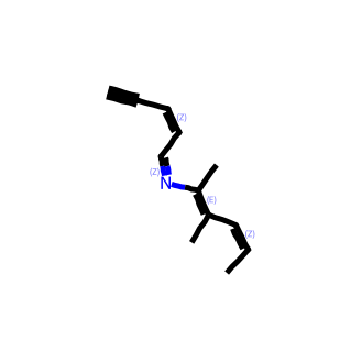 C#C\C=C/C=N\C(C)=C(C)\C=C/C